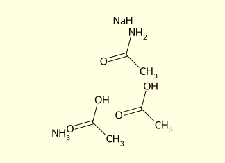 CC(=O)O.CC(=O)O.CC(N)=O.N.[NaH]